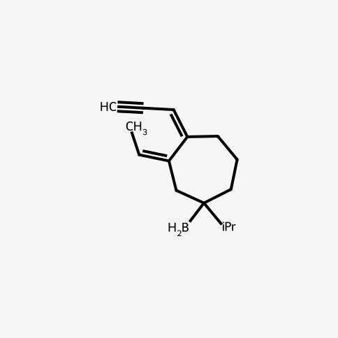 BC1(C(C)C)CCCC(=C/C#C)/C(=C\C)C1